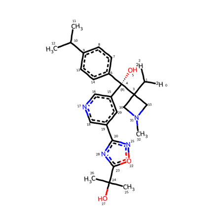 [2H]C([2H])C1([C@](O)(c2ccc(C(C)C)cc2)c2cncc(-c3noc(C(C)(C)O)n3)c2)CN(C)C1